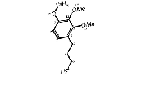 COc1c(CCCS)ccc(O[SiH3])c1OC